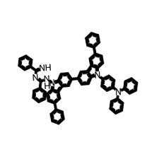 N=C(/N=C(\Nn1c2ccc(-c3ccccc3)cc2c2cc(-c3ccc4c(c3)c3cc(-c5ccccc5)ccc3n4-c3ccc(N(c4ccccc4)c4ccccc4)cc3)ccc21)c1ccccc1)c1ccccc1